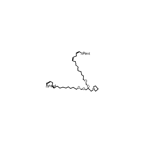 CCCCC/C=C\C/C=C\CCCCCCCCOCOCC(CN1CCCC1)OCOCCCCCCCC/C=C\C/C=C\CCCCC